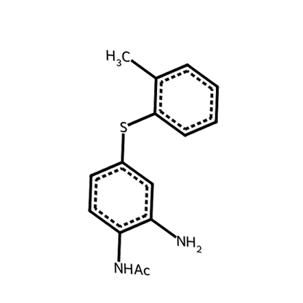 CC(=O)Nc1ccc(Sc2ccccc2C)cc1N